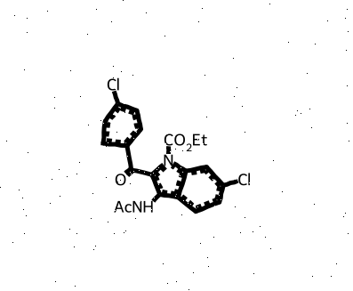 CCOC(=O)n1c(C(=O)c2ccc(Cl)cc2)c(NC(C)=O)c2ccc(Cl)cc21